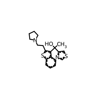 CC(O)(c1cscn1)c1c(CCN2CCCC2)sc2ccccc12